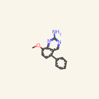 COc1ccc(-c2ccccc2)c2cnc(N)nc12